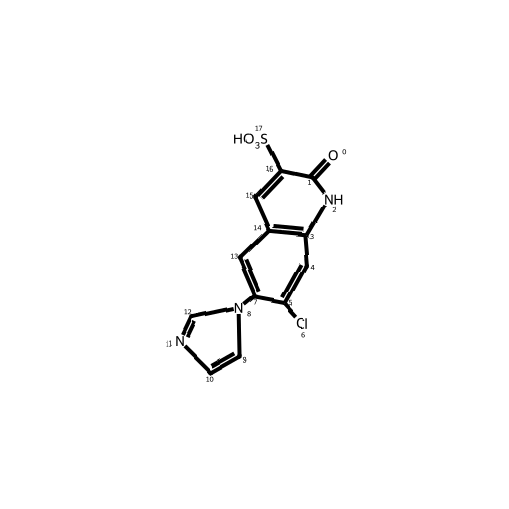 O=c1[nH]c2cc(Cl)c(-n3ccnc3)cc2cc1S(=O)(=O)O